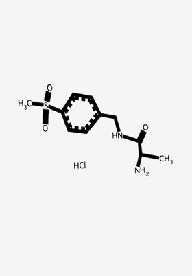 CC(N)C(=O)NCc1ccc(S(C)(=O)=O)cc1.Cl